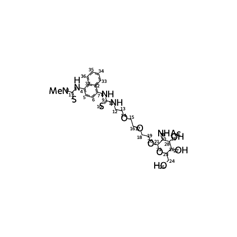 CNC(=S)Nc1ccc(NC(=S)NCCOCCOCCO[C@@H]2OC(CO)[C@@H](O)C(O)C2NC(C)=O)c2ccccc12